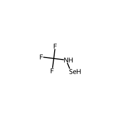 FC(F)(F)N[SeH]